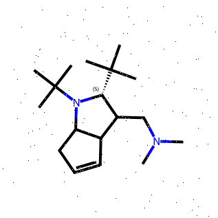 CN(C)CC1C2C=CCC2N(C(C)(C)C)[C@@H]1C(C)(C)C